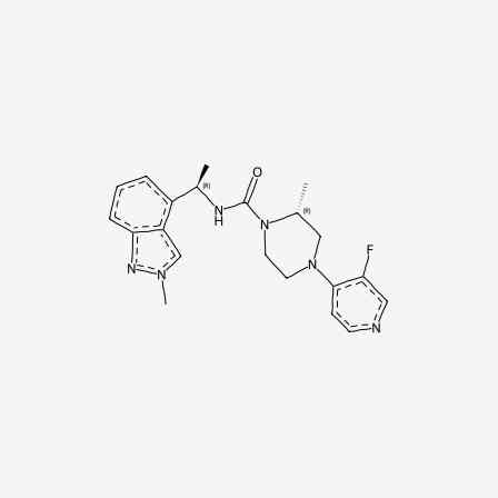 C[C@@H]1CN(c2ccncc2F)CCN1C(=O)N[C@H](C)c1cccc2nn(C)cc12